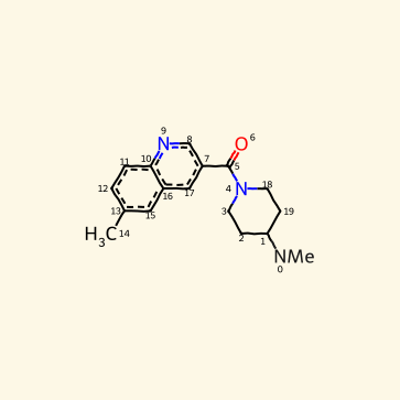 CNC1CCN(C(=O)c2cnc3ccc(C)cc3c2)CC1